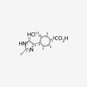 Cc1nc(-c2ccc(C(=O)O)cc2)c[nH]1.Cl